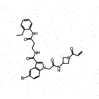 C=CC(=O)N1CC(NC(=O)Cn2cc(C(=O)NCCC(=O)Nc3ccccc3CC)c3cc(Br)ccc32)C1